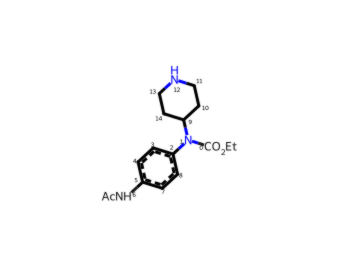 CCOC(=O)N(c1ccc(NC(C)=O)cc1)C1CCNCC1